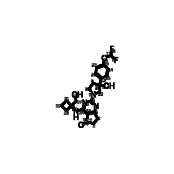 [O-][S@+]1CCc2nc(N3CCC(O)(c4ccc(OC(F)F)cc4)C3)nc(NC3(CO)CCC3)c21